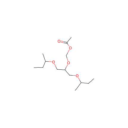 CCC(C)OCC(COC(C)CC)OCOC(C)=O